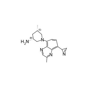 Cc1cnc2c(N3C[C@@H](C)C[C@@H](N)C3)ccc(C3C=N3)c2n1